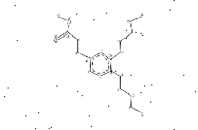 CCCCCc1ccc(CCC(=O)OC)cc1CCCCC